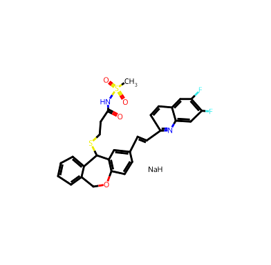 CS(=O)(=O)NC(=O)CCSC1c2ccccc2COc2ccc(/C=C/c3ccc4cc(F)c(F)cc4n3)cc21.[NaH]